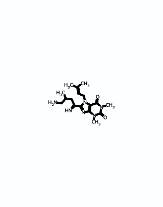 CC(C)=CCn1c(C(=N)CC(C)CN)nc2c1c(=O)n(C)c(=O)n2C